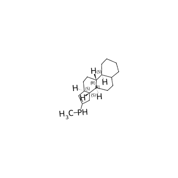 CPC1=C[C@H]2CC[C@H]3[C@@H](CCC4CCCC[C@@H]43)[C@@H]2C1